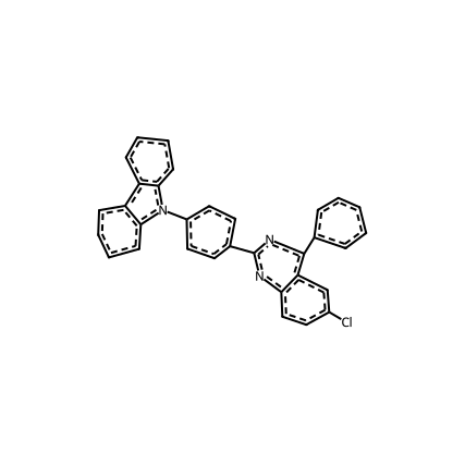 Clc1ccc2nc(-c3ccc(-n4c5ccccc5c5ccccc54)cc3)nc(-c3ccccc3)c2c1